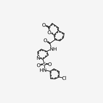 O=C(Nc1ccnc(S(=O)(=O)Nc2ccc(Cl)cc2)c1)c1cccc2ccc(=O)oc12